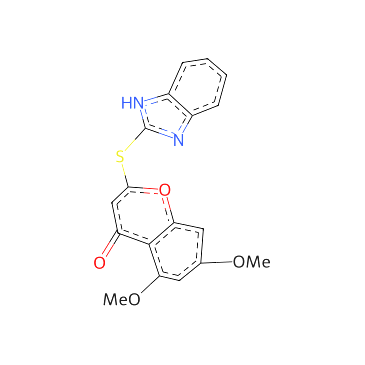 COc1cc(OC)c2c(=O)cc(Sc3nc4ccccc4[nH]3)oc2c1